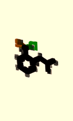 CC(C)Cc1ccccc1C(=S)Cl